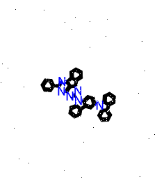 c1ccc(-c2nc3c4c(nc(-n5c6ccccc6c6cc(-n7c8ccccc8c8ccccc87)ccc65)nc4n2)-c2ccccc2-3)cc1